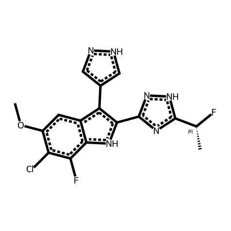 COc1cc2c(-c3cn[nH]c3)c(-c3n[nH]c([C@@H](C)F)n3)[nH]c2c(F)c1Cl